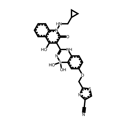 N#Cc1csc(COc2ccc3c(c2)S(O)(O)N=C(c2c(O)c4ccccc4n(NCC4CC4)c2=O)N3)n1